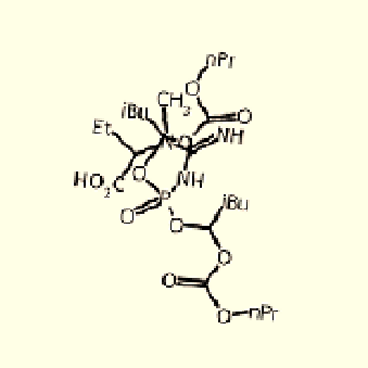 CCCOC(=O)OC(OP(=O)(NC(=N)N(C)C(CC)C(=O)O)OC(OC(=O)OCCC)C(C)CC)C(C)CC